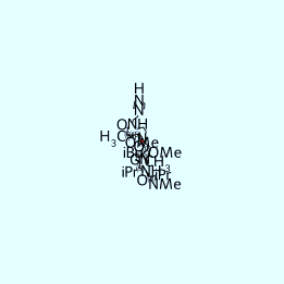 CC[C@H](C)[C@@H]([C@@H](CC(=O)N1CCC[C@H]1[C@H](OC)[C@@H](C)C(=O)NCCN1CCNCC1)OC)N(C)C(=O)[C@@H](NC(=O)[C@@H](NC)C(C)C)C(C)C